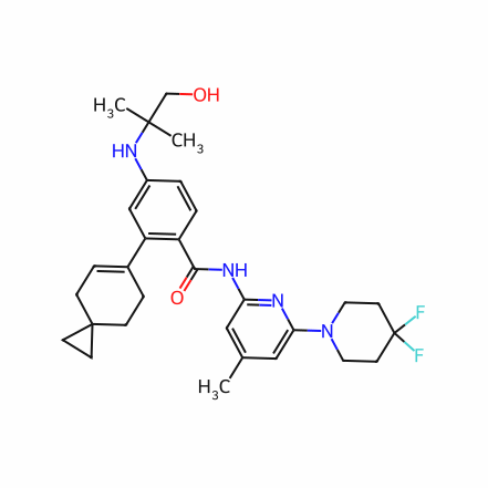 Cc1cc(NC(=O)c2ccc(NC(C)(C)CO)cc2C2=CCC3(CC2)CC3)nc(N2CCC(F)(F)CC2)c1